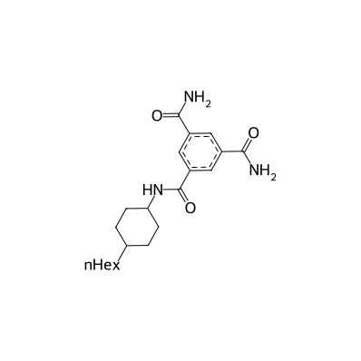 CCCCCCC1CCC(NC(=O)c2cc(C(N)=O)cc(C(N)=O)c2)CC1